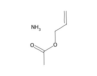 C=CCOC(C)=O.N